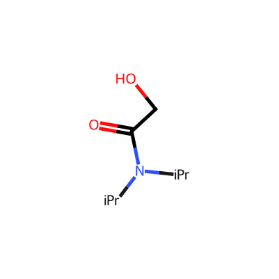 CC(C)N(C(=O)CO)C(C)C